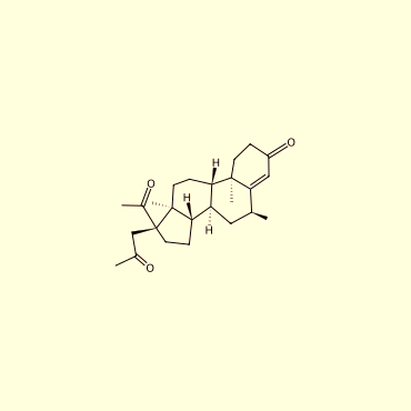 CC(=O)C[C@]1(C(C)=O)CC[C@H]2[C@@H]3C[C@H](C)C4=CC(=O)CC[C@]4(C)[C@H]3CC[C@@]21C